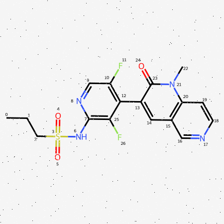 CCCS(=O)(=O)Nc1ncc(F)c(-c2cc3cnccc3n(C)c2=O)c1F